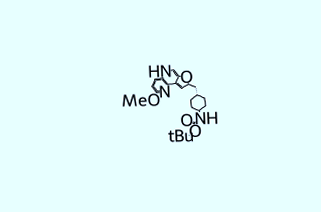 COc1ccc2c(n1)C1=CC(C[C@H]3CC[C@H](NC(=O)OC(C)(C)C)CC3)OC1=CN2